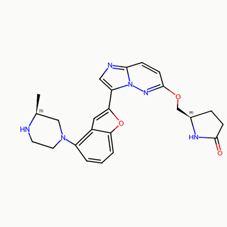 C[C@H]1CN(c2cccc3oc(-c4cnc5ccc(OC[C@H]6CCC(=O)N6)nn45)cc23)CCN1